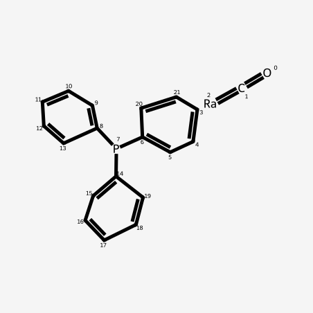 O=[C]=[Ra].c1ccc(P(c2ccccc2)c2ccccc2)cc1